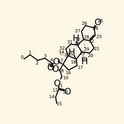 CCCCC(=O)O[C@]1(C(=O)COC(=O)CC)CC[C@H]2[C@@H]3CCC4=CC(=O)CC[C@]4(C)[C@H]3CC[C@@]21C